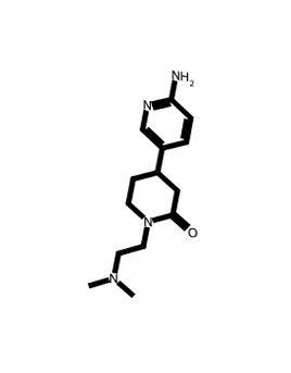 CN(C)CCN1CCC(c2ccc(N)nc2)CC1=O